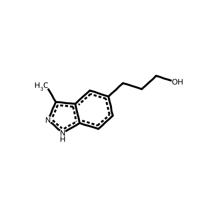 Cc1n[nH]c2ccc(CCCO)cc12